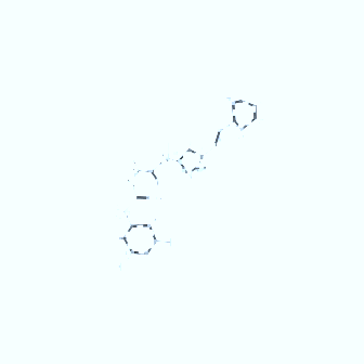 C[C@H](NC(=O)[C@@H](O)c1cc(F)cc(F)c1)C(=O)Nc1cc(/C=C/c2ccccc2)n[nH]1